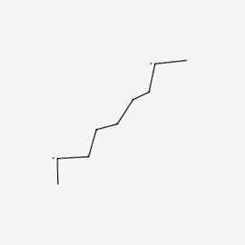 C[CH]CCCCC[CH]C